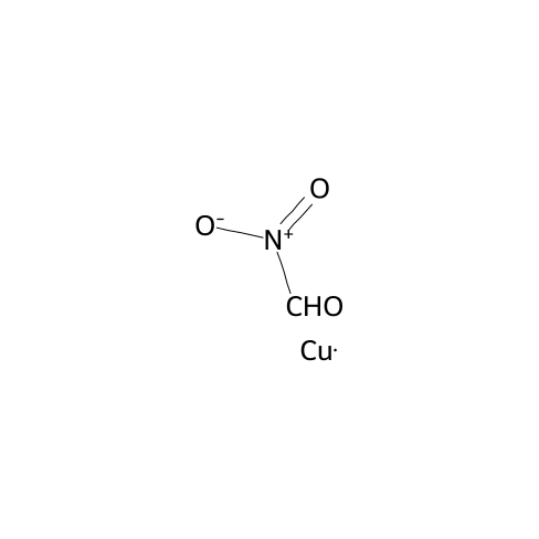 O=C[N+](=O)[O-].[Cu]